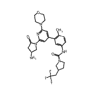 Cc1ccc(NC(=O)N2CCC(CC(F)(F)F)C2)cc1-c1cc(N2CCOCC2)nc(N2CC(N)CC2=O)c1